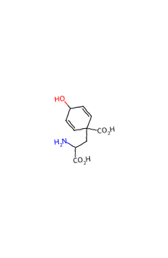 NC(CC1(C(=O)O)C=CC(O)C=C1)C(=O)O